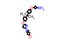 CC(C)(c1ccc(Oc2ccc(N3CC4(CC(=O)C4)C3)nc2)cc1)c1ccc(OC2CC(N)C2)cc1